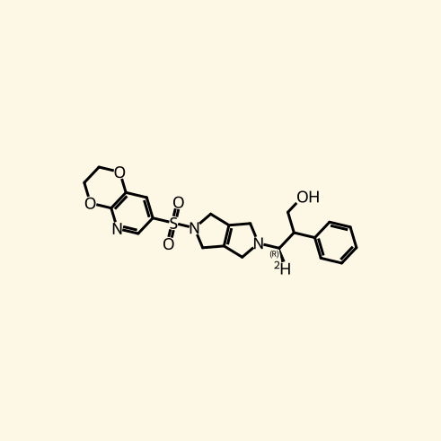 [2H][C@H](C(CO)c1ccccc1)N1CC2=C(C1)CN(S(=O)(=O)c1cnc3c(c1)OCCO3)C2